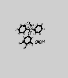 Cc1cccc(C)c1C.O=CP(=O)(c1ccccc1)c1ccccc1.O=P